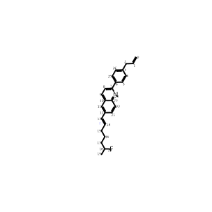 C=CCc1ccc(-c2ccc3cc(/C=C/CCCC(C)F)ccc3n2)cc1